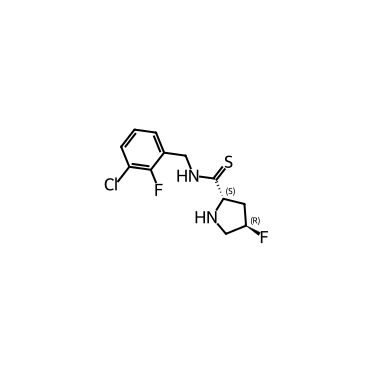 Fc1c(Cl)cccc1CNC(=S)[C@@H]1C[C@@H](F)CN1